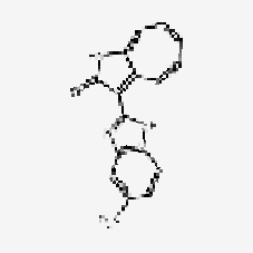 O=c1[nH]c2cccccc-2c1-c1nc2cc([N+](=O)[O-])ccc2[nH]1